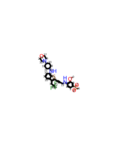 COc1cc(S(C)(=O)=O)ccc1NCC#Cc1sc2c(NC3CCC(N4CCOCC4)CC3)cccc2c1CC(F)(F)F